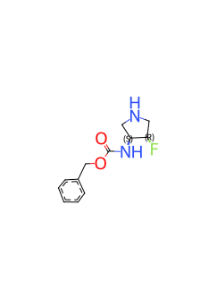 O=C(N[C@H]1CNC[C@H]1F)OCc1ccccc1